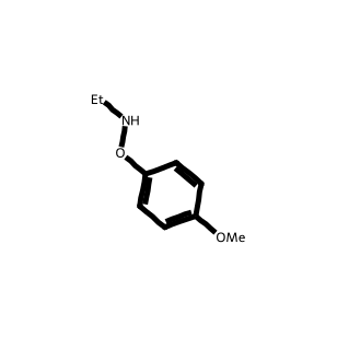 CCNOc1ccc(OC)cc1